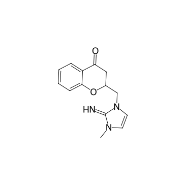 Cn1ccn(CC2CC(=O)c3ccccc3O2)c1=N